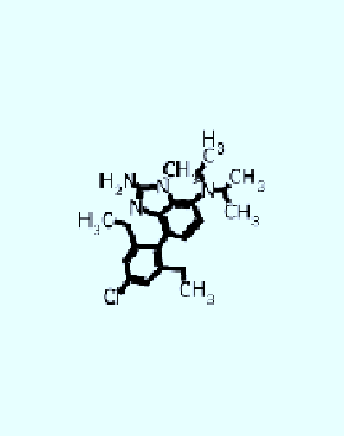 CCc1cc(Cl)cc(CC)c1-c1ccc(N(CC)C(C)C)c2c1nc(N)n2C